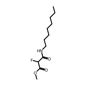 CCCCCCCCNC(=O)C(F)C(=O)OC